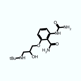 CC(C)(C)NCC(O)COc1cccc(NC(N)=O)c1C(N)=O